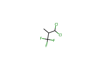 CC(C(Cl)Cl)C(F)(F)F